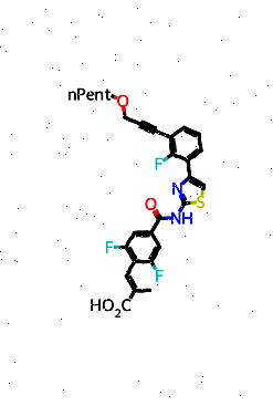 CCCCCOCC#Cc1cccc(-c2csc(NC(=O)c3cc(F)c(C=C(C)C(=O)O)c(F)c3)n2)c1F